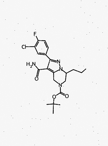 CCCC1CN(C(=O)OC(C)(C)C)Cc2c(C(N)=O)c(-c3ccc(F)c(Cl)c3)nn21